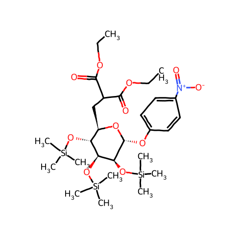 CCOC(=O)C(C[C@H]1O[C@H](Oc2ccc([N+](=O)[O-])cc2)[C@@H](O[Si](C)(C)C)[C@@H](O[Si](C)(C)C)[C@@H]1O[Si](C)(C)C)C(=O)OCC